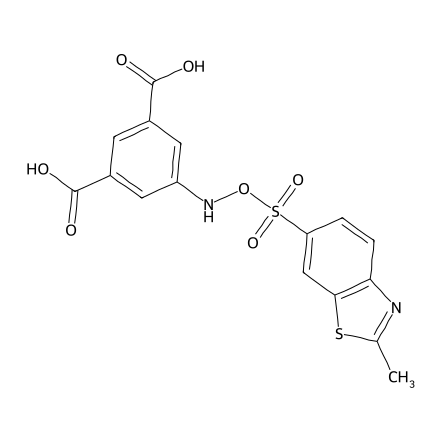 Cc1nc2ccc(S(=O)(=O)ONc3cc(C(=O)O)cc(C(=O)O)c3)cc2s1